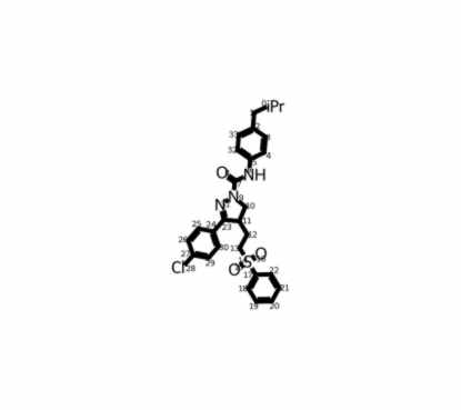 CC(C)Cc1ccc(NC(=O)N2CC(CCS(=O)(=O)c3ccccc3)C(c3ccc(Cl)cc3)=N2)cc1